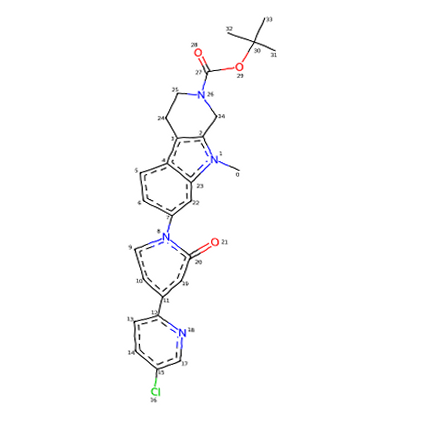 Cn1c2c(c3ccc(-n4ccc(-c5ccc(Cl)cn5)cc4=O)cc31)CCN(C(=O)OC(C)(C)C)C2